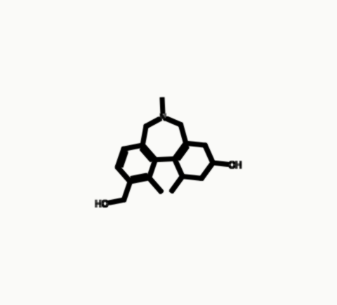 Cc1c(CO)ccc2c1C1=C(CC(O)CC1C)CN(C)C2